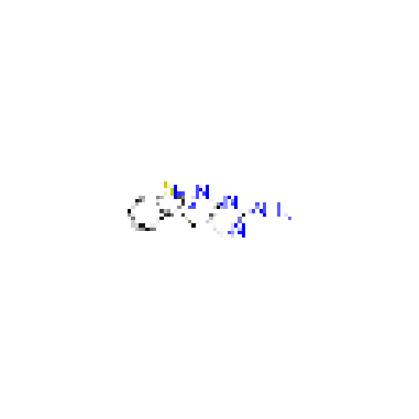 Nc1ncc(Cc2csc3ccccc23)c(N)n1